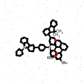 CC(C)(C)c1cc(-c2cccc3cccc(-c4ccccc4N(c4ccc(-c5ccc6c(c5)c5ccccc5n6-c5ccccc5)cc4)c4cccc(-c5cccc6c5C(C)(C)c5ccccc5-6)c4)c23)cc(C(C)(C)C)c1